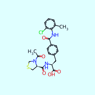 CC(=O)N1CSC[C@@H]1C(=O)N[C@@H](Cc1ccc(C(=O)Nc2c(C)cccc2Cl)cc1)C(=O)O